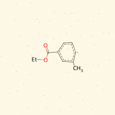 CCOC(=O)c1cc[c]c(C)c1